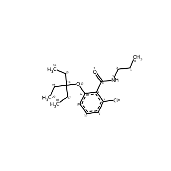 CCCNC(=O)c1c(Cl)cccc1OC(CC)(CC)CC